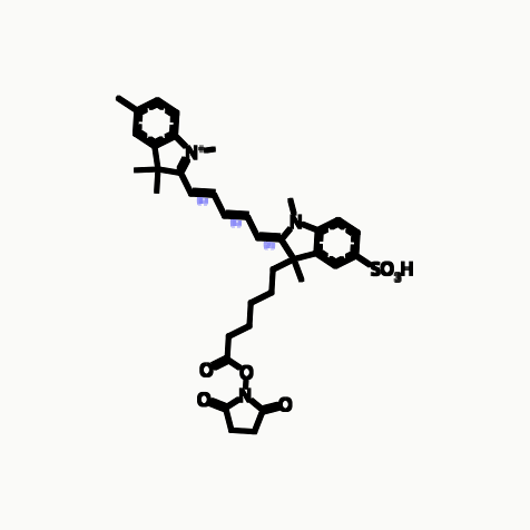 Cc1ccc2c(c1)C(C)(C)C(/C=C/C=C/C=C1\N(C)c3ccc(S(=O)(=O)O)cc3C1(C)CCCCCC(=O)ON1C(=O)CCC1=O)=[N+]2C